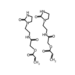 C=CC(=O)OCC(=O)NCCN1CCNC1=O.C=CC(=O)OCC(=O)NCCN1CCNC1=O